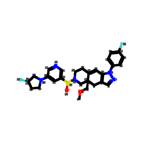 COC[C@]12Cc3cnn(-c4ccc(F)cc4)c3C=C1CCN([S+]([O-])c1cncc(N3CC[C@H](F)C3)c1)C2